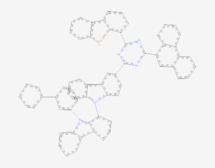 c1ccc(-c2cccc(-n3c4ccccc4c4cccc(-n5c6ccccc6c6cc(-c7nc(-c8cc9ccccc9c9ccccc89)nc(-c8cccc9c8sc8ccccc89)n7)ccc65)c43)c2)cc1